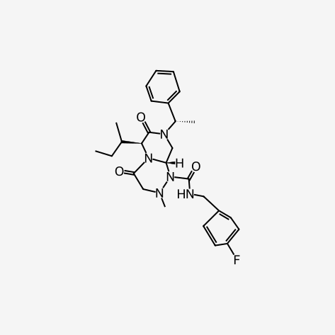 CCC(C)[C@H]1C(=O)N([C@@H](C)c2ccccc2)C[C@H]2N1C(=O)CN(C)N2C(=O)NCc1ccc(F)cc1